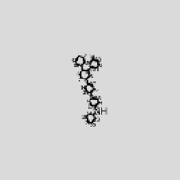 C1=CCCC(c2ccc(-c3ccc(-c4ccc(Nc5ccccc5)cc4)cc3)cc2-c2ccccc2)=C1